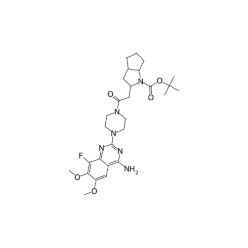 COc1cc2c(N)nc(N3CCN(C(=O)CC4CC5CCCC5N4C(=O)OC(C)(C)C)CC3)nc2c(F)c1OC